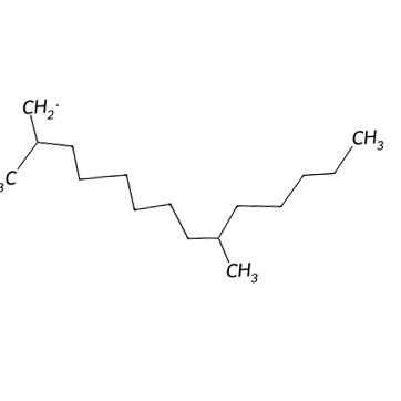 [CH2]C(C)CCCCCCC(C)CCCCC